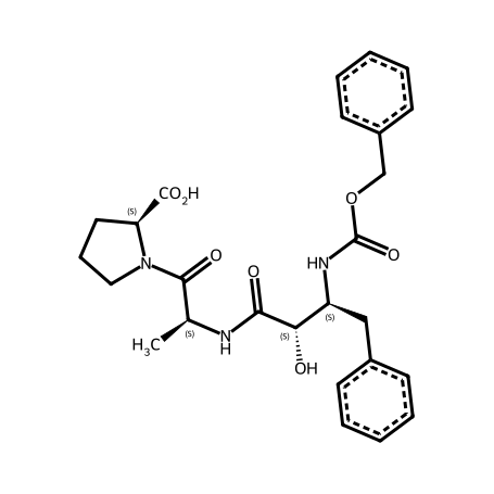 C[C@H](NC(=O)[C@@H](O)[C@H](Cc1ccccc1)NC(=O)OCc1ccccc1)C(=O)N1CCC[C@H]1C(=O)O